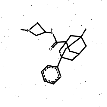 CN1CC(NC(=O)C23CC4CC(C)(C2)CC(c2ccccc2)(C4)C3)C1